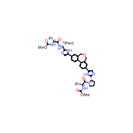 CCC[C@H](C)[C@H](NC(=O)[C@@H](NC(=O)OC)C(C)C)c1ncc(-c2ccc3c(c2)COCc2cc(-c4cnc([C@@H]5CCCN5C(=O)[C@@H](NC(=O)OC)C(C)C)[nH]4)ccc2-3)[nH]1